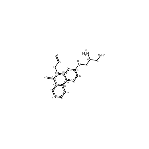 C=CCn1c(=O)c2cnccc2c2ccc(OCC(N)CC(C)C)cc21